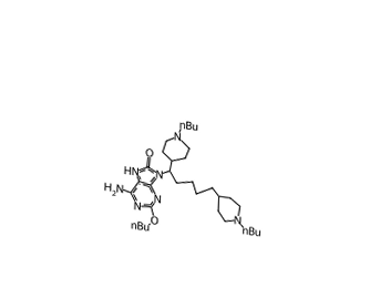 CCCCOc1nc(N)c2[nH]c(=O)n(C(CCCCC3CCN(CCCC)CC3)C3CCN(CCCC)CC3)c2n1